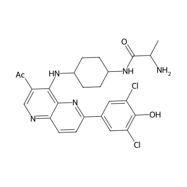 CC(=O)c1cnc2ccc(-c3cc(Cl)c(O)c(Cl)c3)nc2c1NC1CCC(NC(=O)C(C)N)CC1